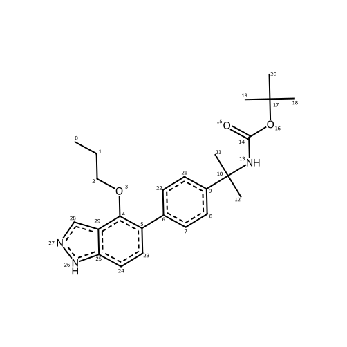 CCCOc1c(-c2ccc(C(C)(C)NC(=O)OC(C)(C)C)cc2)ccc2[nH]ncc12